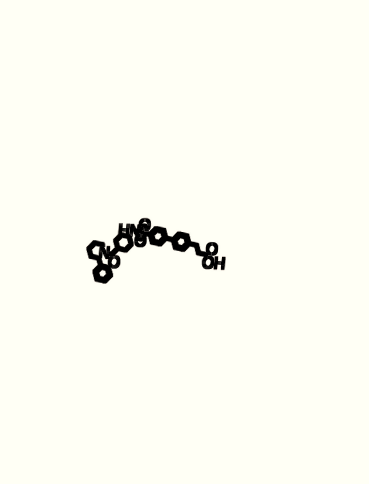 O=C(O)CCc1ccc(-c2ccc(S(=O)(=O)NC3CCC(C(=O)N4CCCCC4c4ccccc4)CC3)cc2)cc1